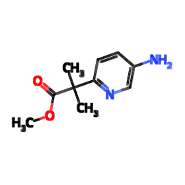 COC(=O)C(C)(C)c1ccc(N)cn1